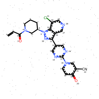 C=CC(=O)N1CCC[C@@H](n2nc(-c3cnc(-n4ccc(=O)c(C#N)c4)nc3)c3cncc(Cl)c32)C1